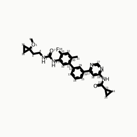 COC1(CCNC(=O)Nc2cc(-c3cccc(-c4cc(NC(=O)C5CC5)ncn4)c3)c(C)cc2F)CC1